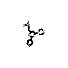 O=[SH](=O)CCc1cc(N2CCOCC2)nc(-c2ccncc2)n1